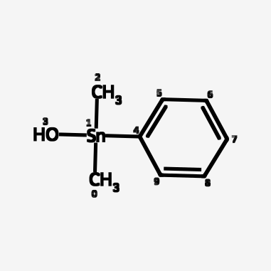 [CH3][Sn]([CH3])([OH])[c]1ccccc1